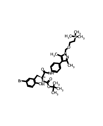 Cc1nn(COCCS(C)(C)C)c(C)c1-c1ccc(NC(=O)[C@H](Cc2cc(Br)ccc2Cl)NC(=O)OC(C)(C)C)cc1